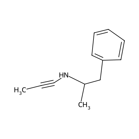 CC#CNC(C)Cc1ccccc1